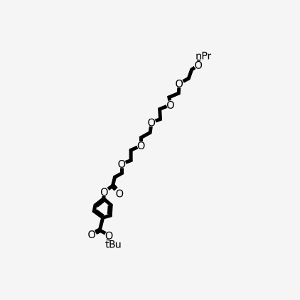 CCCOCCOCCOCCOCCOCCOCCC(=O)Oc1ccc(C(=O)OC(C)(C)C)cc1